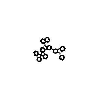 c1ccc(-n2c3ccccc3c3cc(-c4ccc5c(c4)c4c6c(ccc4n5-c4cccc5ccccc45)C(c4ccccc4)(c4ccccc4)c4ccccc4-6)ccc32)cc1